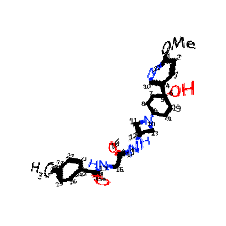 COc1ccc([C@]2(O)CC[C@H](N3CC(NC(=O)CNC(=O)c4ccc(C)cc4)C3)CC2)cn1